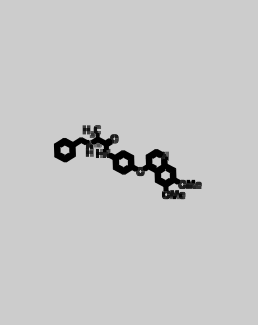 COc1cc2nccc(Oc3ccc(NC(=O)[C@H](C)NCc4ccccc4)cc3)c2cc1OC